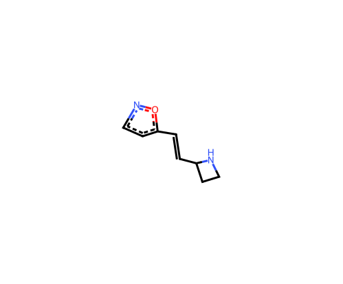 C(=CC1CCN1)c1ccno1